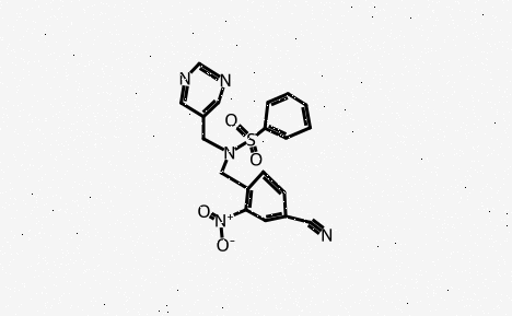 N#Cc1ccc(CN(Cc2cncnc2)S(=O)(=O)c2ccccc2)c([N+](=O)[O-])c1